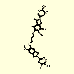 COc1cc2c(cc1OCCCOc1c(C)c3c(c(Br)c1OC)CN(C(=O)C[C@H](C)C(=O)O)C3C)CN(C(=O)C[C@H](C)C(=O)O)C2